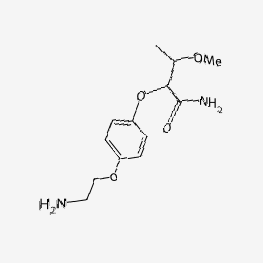 COC(C)C(Oc1ccc(OCCN)cc1)C(N)=O